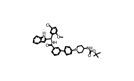 COc1ccc(Cl)cc1[C@@H](NC(=O)c1cccc(-c2ccc(N3CCC(NC(=O)OC(C)(C)C)CC3)cc2)c1)c1cc2ccccc2[nH]1